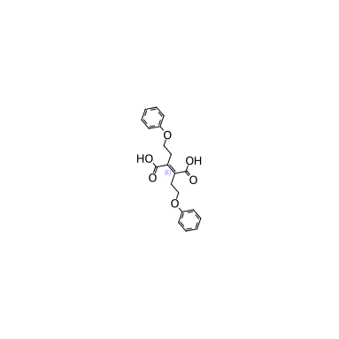 O=C(O)/C(CCOc1ccccc1)=C(\CCOc1ccccc1)C(=O)O